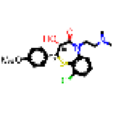 COc1ccc([C@H]2Sc3c(Cl)cccc3N(CCN(C)C)C(=O)[C@H]2O)cc1